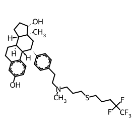 CN(CCCSCCCC(F)(F)C(F)(F)F)CCc1ccc([C@H]2C[C@]3(C)[C@@H](O)CC[C@H]3[C@@H]3CCc4cc(O)ccc4[C@H]32)cc1